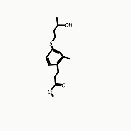 COC(=O)CCc1ccc(SCCC(C)O)cc1C